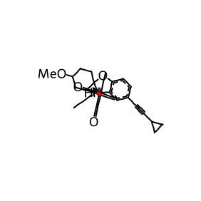 COC1CCC2(CC1)Oc1ccc(C#CC3CC3)cc1C21NC(=O)N(C)C1=O